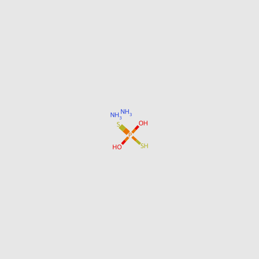 N.N.OP(O)(=S)S